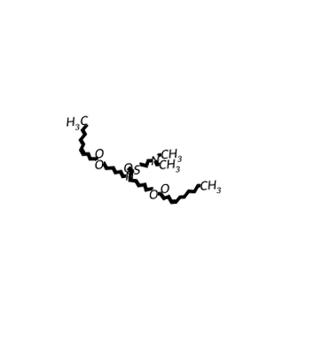 CCCCCC/C=C\CCC(=O)OCCCCCCN(CCCCCCOC(=O)CC/C=C\CCCCCC)C(=O)SCCCN(CC)CC